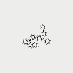 c1ccc(-c2ccc3c(c2)c2cc(-c4ccnc(-n5c6ccccc6c6ccc7ccccc7c65)n4)ccc2n3-c2ccccc2)cc1